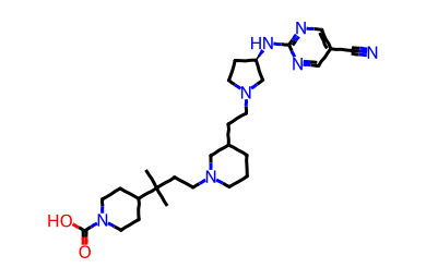 CC(C)(CCN1CCCC(CCN2CC[C@@H](Nc3ncc(C#N)cn3)C2)C1)C1CCN(C(=O)O)CC1